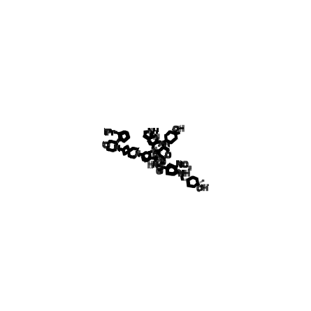 CC(C)c1ccccc1[C@@H]1COCCN1C1CC2(CCN(c3ccc(C(=O)NS(=O)(=O)c4ccc(NC[C@H]5CC[C@](C)(O)CC5)c([N+](=O)[O-])c4)c(N4c5cc6cc[nH]c6nc5N(C5CCC(C)(O)CC5)[C@H]5COCC[C@@H]54)c3)CC2)C1